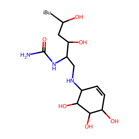 CCC(C)C(O)CC(O)C(CNC1C=CC(O)C(O)C1O)NC(N)=O